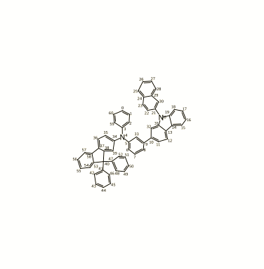 c1ccc(N(c2cccc(-c3ccc4c5ccccc5n(-c5ccc6ccccc6c5)c4c3)c2)c2ccc3c(c2)C(c2ccccc2)(c2ccccc2)c2ccccc2-3)cc1